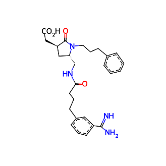 N=C(N)c1cccc(CCCC(=O)NC[C@@H]2C[C@@H](CC(=O)O)C(=O)N2CCCc2ccccc2)c1